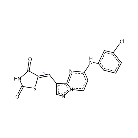 O=C1NC(=O)/C(=C/c2cnn3ccc(Nc4cccc(Cl)c4)nc23)S1